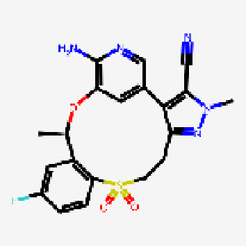 C[C@H]1Oc2cc(cnc2N)-c2c(nn(C)c2C#N)CCS(=O)(=O)c2ccc(F)cc21